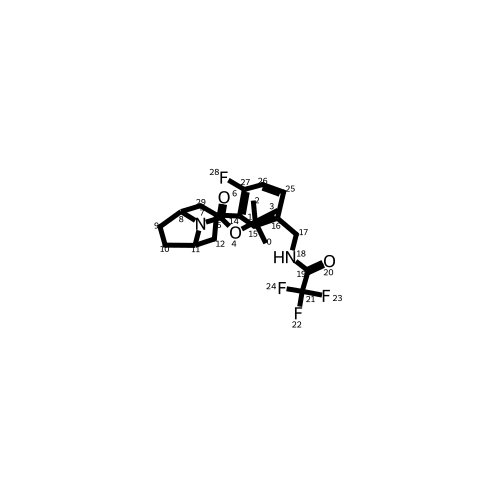 CC(C)(C)OC(=O)N1C2CCC1CC(c1cc(CNC(=O)C(F)(F)F)ccc1F)C2